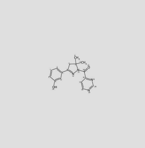 CC1(C)CC(c2cccc(O)c2)=NN1C(=O)c1ccncn1